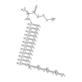 C=C.C=C.C=C.C=C.C=C.C=C.C=C.C=C.C=C.C=C.C=C.C=C.C=C.C=C.C=C.C=C.C=C(C)C(=O)OCCO